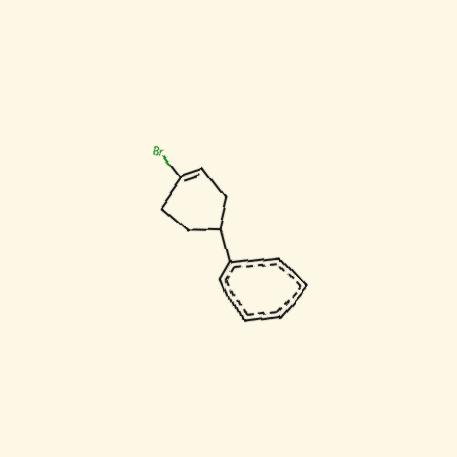 BrC1=CCC(c2ccccc2)CC1